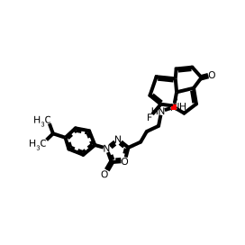 CC(C)c1ccc(-n2nc(CCCNN3CC=C4C(=O)C=CC5=CC=C(F)N[C@]543)oc2=O)cc1